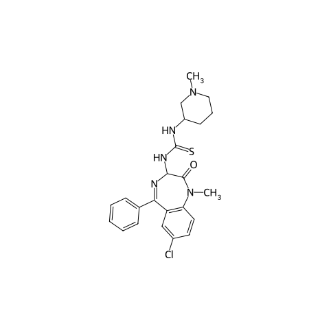 CN1CCCC(NC(=S)NC2N=C(c3ccccc3)c3cc(Cl)ccc3N(C)C2=O)C1